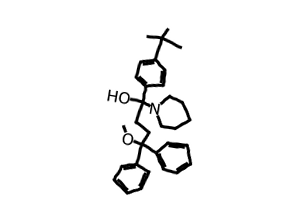 COC(CCC(O)(c1ccc(C(C)(C)C)cc1)N1CCCCC1)(c1ccccc1)c1ccccc1